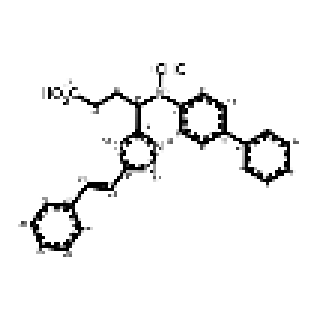 O=CN(c1ccc(-c2ccccc2)cc1)C(CCC(=O)O)c1nnc(C=Cc2ccccc2)o1